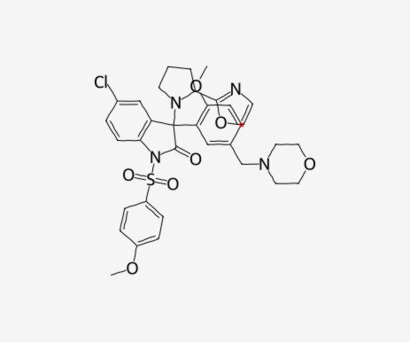 COc1ccc(S(=O)(=O)N2C(=O)C(c3cc(CN4CCOCC4)ccc3OC)(N3CCCC3c3ncco3)c3cc(Cl)ccc32)cc1